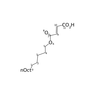 CCCCCCCCCCCCCOC(=O)C=CC(=O)O